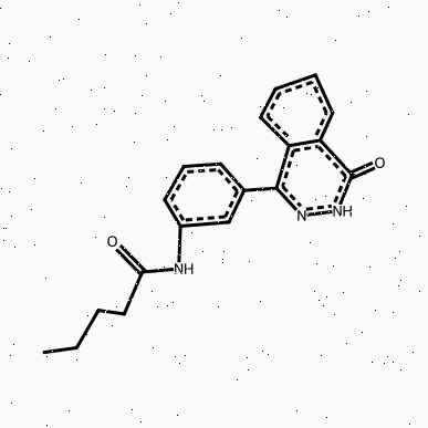 CCCCC(=O)Nc1cccc(-c2n[nH]c(=O)c3ccccc23)c1